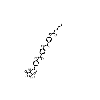 CCCCCC(=O)Nc1ccc(C(=O)Nc2ccc(C(=O)Nc3ccc(C(=O)NC(C(=O)O)C(=O)O)cc3)cc2)cc1